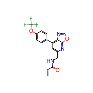 C=CC(=O)NCc1cc(-c2ccc(OC(F)(F)F)cc2)c2ncoc2n1